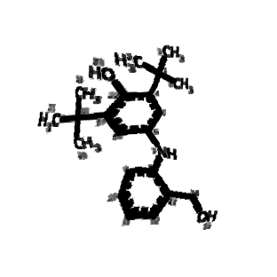 CC(C)(C)c1cc(Nc2ccccc2CO)cc(C(C)(C)C)c1O